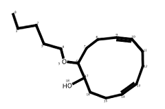 CCCCCOC1CCC=CCCC=CCCC1O